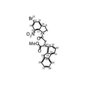 COC(=O)N(CC(=O)N1CCc2cc(Br)cc([N+](=O)[O-])c21)c1cccc2c1Cc1ccccc1-2